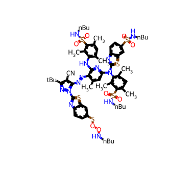 CCCCNOOSc1ccc2nc(-n3nc(C(C)(C)C)c(C#N)c3N=Nc3c(C)cc(N(c4nc5ccc(S(=O)(=O)NCCCC)cc5s4)c4c(C)cc(C)c(S(=O)(=O)NCCCC)c4C)nc3Nc3c(C)cc(C)c(S(=O)(=O)NCCCC)c3C)sc2c1